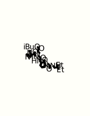 CCC(CC)CNC(=O)Cn1cccc(NC(=O)[C@H](CCC(=O)OCC(C)C)NC(=O)c2cncn2C)c1=O